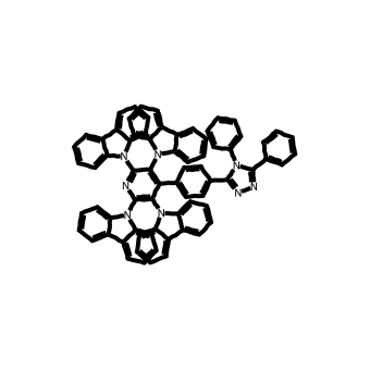 c1ccc(-c2nnc(-c3ccc(-c4c(-n5c6ccccc6c6ccccc65)c(-n5c6ccccc6c6ccccc65)nc(-n5c6ccccc6c6ccccc65)c4-n4c5ccccc5c5ccccc54)cc3)n2-c2ccccc2)cc1